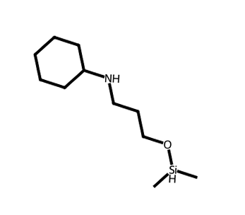 C[SiH](C)OCCCNC1CCCCC1